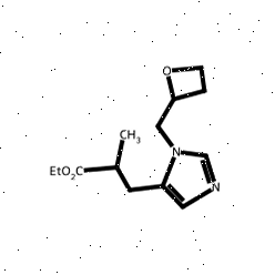 CCOC(=O)C(C)Cc1cncn1CC1CCO1